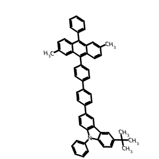 Cc1ccc2c(-c3ccc(-c4ccc(-c5ccc6c(c5)c5cc(C(C)(C)C)ccc5n6-c5ccccc5)cc4)cc3)c3cc(C)ccc3c(-c3ccccc3)c2c1